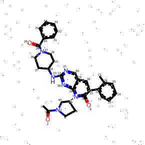 CC(=O)N1CC[C@@H](n2c(=O)c(-c3ccccc3C)cc3cnc(NC4CCN(C(=O)c5ccccc5)CC4)nc32)C1